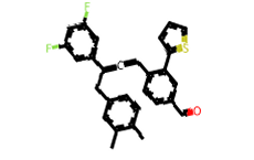 Cc1ccc(CC(=C=Cc2ccc(C=O)cc2-c2cccs2)c2cc(F)cc(F)c2)cc1C